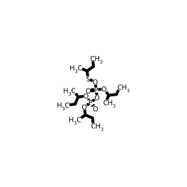 CCC(C)OP(=O)(OSC(C)CC)OP(=O)(OC(C)CC)OC(C)CC